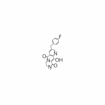 CN1CCn2c(c(O)c3ncc(Cc4ccc(F)cc4)cc3c2=O)C1=O